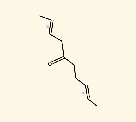 C/C=C/CCC(=O)C/C=C/C